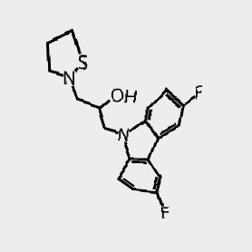 OC(CN1CCCS1)Cn1c2ccc(F)cc2c2cc(F)ccc21